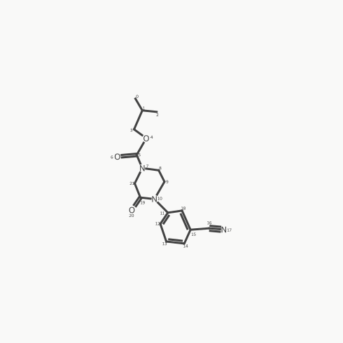 CC(C)COC(=O)N1CCN(c2cccc(C#N)c2)C(=O)C1